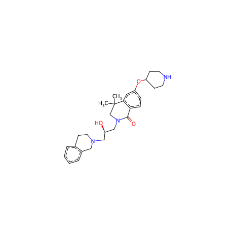 CC1(C)CN(C[C@H](O)CN2CCc3ccccc3C2)C(=O)c2ccc(OC3CCNCC3)cc21